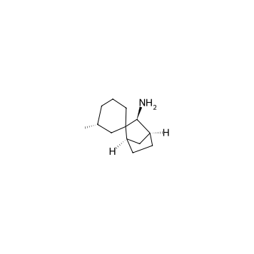 C[C@@H]1CCCC2(C1)[C@@H]1CC[C@@H](C1)[C@@H]2N